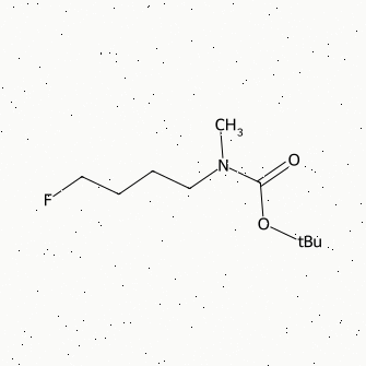 CN(CCCCF)C(=O)OC(C)(C)C